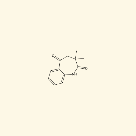 CC1(C)CC(=O)c2ccccc2NC1=O